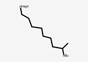 [CH2]CCCC(C)CCCCCCCCCCCCCC